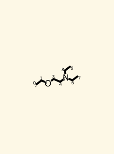 [CH2]COCCN(CC)CC